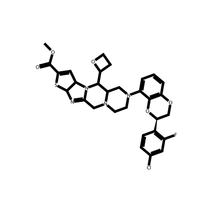 COC(=O)C1=CC2C(N=C3CN4CCN(c5cccc6c5O[C@H](c5ccc(Cl)cc5F)CO6)CC4C(C4CCO4)N32)S1